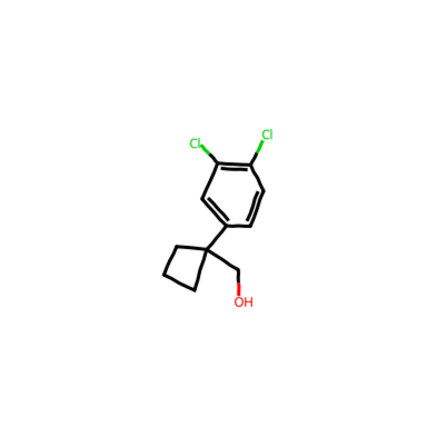 OCC1(c2ccc(Cl)c(Cl)c2)CCC1